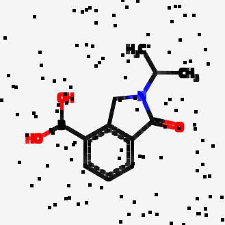 CC(C)N1Cc2c(B(O)O)cccc2C1=O